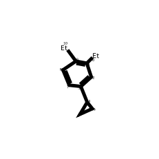 CCc1[c]c(C2CC2)ccc1CC